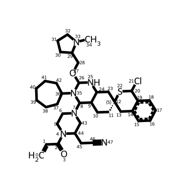 C=CC(=O)N1CCN(C2C3CC[C@]4(Cc5ccccc5C(Cl)S4)CC3NC(OCC3CCCN3C)N2C2CCCCCC2)CC1CC#N